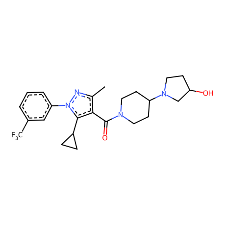 Cc1nn(-c2cccc(C(F)(F)F)c2)c(C2CC2)c1C(=O)N1CCC(N2CCC(O)C2)CC1